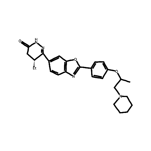 CC[C@@H]1CC(=O)NN=C1c1ccc2nc(-c3ccc(OC(C)CN4CCCCC4)cc3)oc2c1